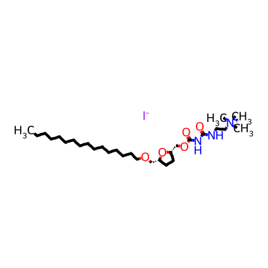 CCCCCCCCCCCCCCCCOC[C@H]1CC[C@@H](COC(=O)NC(=O)NCC[N+](C)(C)C)O1.[I-]